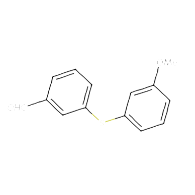 COc1cccc(Sc2cccc(C=O)c2)c1